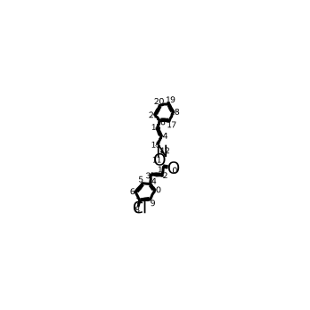 O=C(C=Cc1ccc(Cl)cc1)ON=CC=Cc1ccccc1